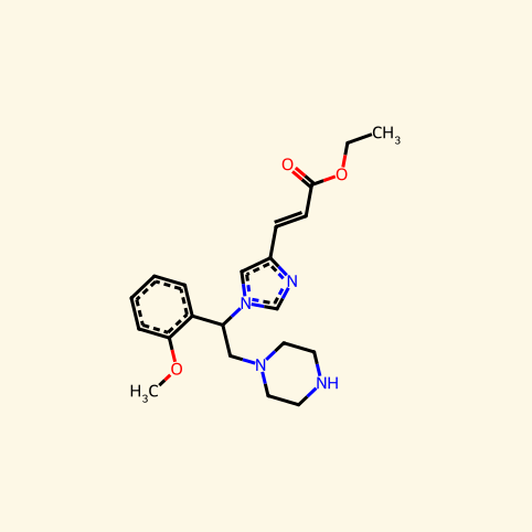 CCOC(=O)C=Cc1cn(C(CN2CCNCC2)c2ccccc2OC)cn1